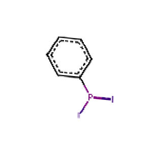 IP(I)c1ccccc1